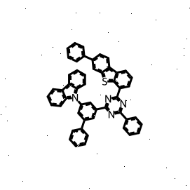 c1ccc(-c2cc(-c3nc(-c4ccccc4)nc(-c4cccc5c4sc4cc(-c6ccccc6)ccc45)n3)cc(-n3c4ccccc4c4ccccc43)c2)cc1